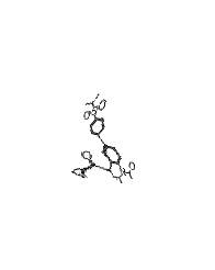 CC(=O)N1c2ccc(-c3ccc(S(=O)(=O)C(C)C)cc3)cc2C(C(=O)C2CC2)C[C@@H]1C